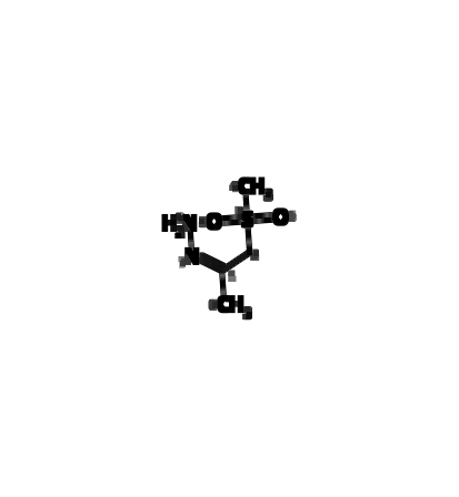 CC(CS(C)(=O)=O)=NN